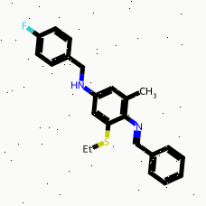 CCSc1cc(NCc2ccc(F)cc2)cc(C)c1N=Cc1ccccc1